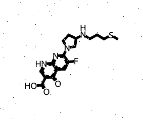 CSCCCNC1CCN(c2nc3[nH]cc(C(=O)O)c(=O)c3cc2F)C1